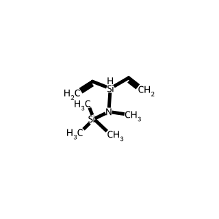 C=C[SiH](C=C)N(C)[Si](C)(C)C